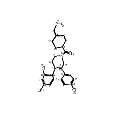 NCC1CCC(C(=O)N2CCN(c3ccc(Cl)cc3Cl)[C@H](c3ccc(Cl)cc3)C2)CC1